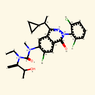 C=C(C(C)O)N(CC)C(=O)N(C)c1cc2c(C(C)C3CC3)nn(-c3c(F)cccc3Cl)c(=O)c2cc1F